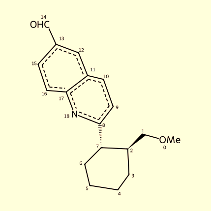 COC[C@H]1CCCC[C@@H]1c1ccc2cc(C=O)ccc2n1